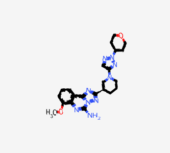 COc1cccc2c1nc(N)n1nc([C@@H]3CCCN(c4cnn(C5CCOCC5)n4)C3)nc21